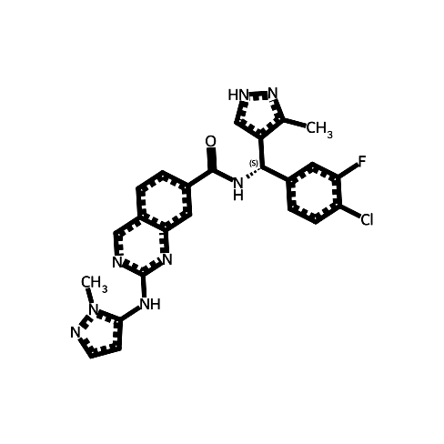 Cc1n[nH]cc1[C@@H](NC(=O)c1ccc2cnc(Nc3ccnn3C)nc2c1)c1ccc(Cl)c(F)c1